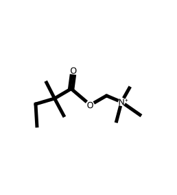 CCC(C)(C)C(=O)OC[N+](C)(C)C